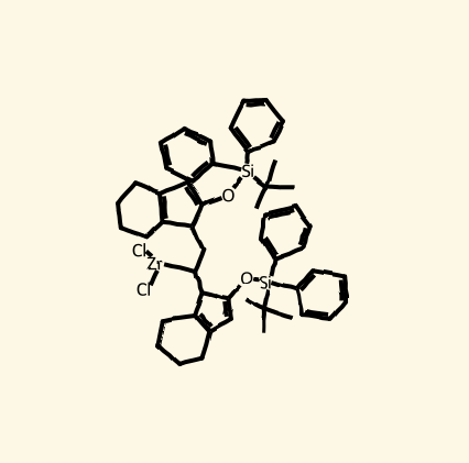 CC(C)(C)[Si](OC1=CC2=C(CCCC2)C1C[CH](C1C(O[Si](c2ccccc2)(c2ccccc2)C(C)(C)C)=CC2=C1CCCC2)[Zr]([Cl])[Cl])(c1ccccc1)c1ccccc1